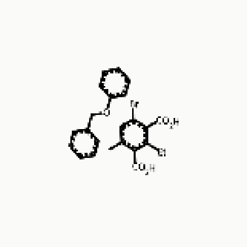 CCc1c(C(=O)O)c(C)cc(Br)c1C(=O)O.c1ccc(COc2ccccc2)cc1